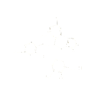 CC(=O)c1cccc(C(=O)O)c1O.Clc1ccc(COC(Cn2ccnc2)c2ccc(Cl)cc2Cl)c(Cl)c1